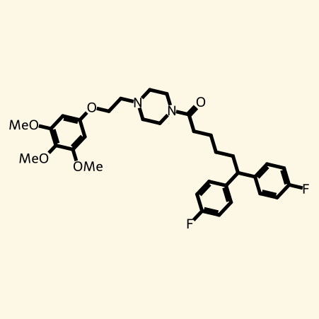 COc1cc(OCCN2CCN(C(=O)CCCCC(c3ccc(F)cc3)c3ccc(F)cc3)CC2)cc(OC)c1OC